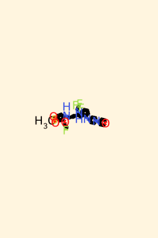 CS(=O)(=O)c1ccc(NCC#Cc2cc3c(NC4CCN(C5CCOCC5)CC4)cccc3n2CC(F)(F)F)c(OCCF)c1